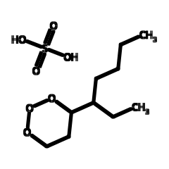 CCCCC(CC)C1CCOOO1.O=S(=O)(O)O